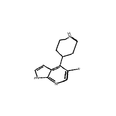 Fc1cnc2[nH]ccc2c1C1CCNCC1